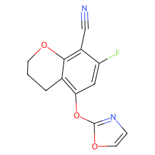 N#Cc1c(F)cc(Oc2ncco2)c2c1OCCC2